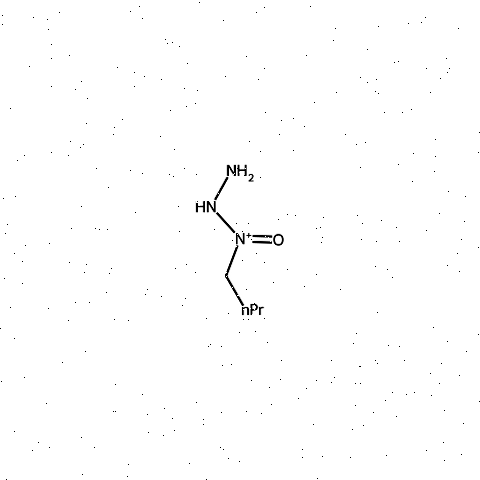 CCCC[N+](=O)NN